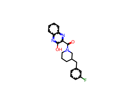 O=C(c1nc2ccccc2nc1O)N1CCCC(Cc2cccc(F)c2)C1